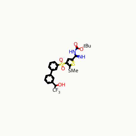 CSc1sc(C(=N)NC(=O)OC(C)(C)C)cc1S(=O)(=O)c1cccc(-c2cccc(C(O)C(F)(F)F)c2)c1